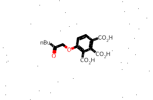 CCCCC(=O)COc1ccc(C(=O)O)c(C(=O)O)c1C(=O)O